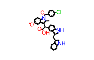 COc1ccc2c(c1)c(C(C(=O)O)c1ccc3[nH]cc(Cc4c[nH]c5ccccc45)c3c1)c(C)n2C(=O)c1ccc(Cl)cc1